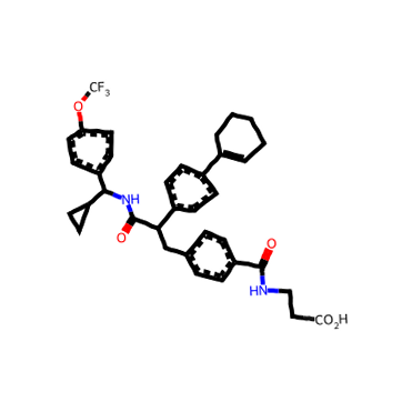 O=C(O)CCNC(=O)c1ccc(CC(C(=O)NC(c2ccc(OC(F)(F)F)cc2)C2CC2)c2ccc(C3=CCCCC3)cc2)cc1